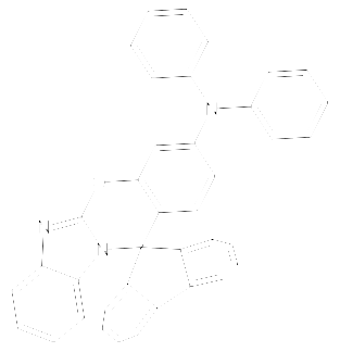 c1ccc(N(c2ccccc2)c2ccc3c(c2)Oc2nc4ccccc4n2C32c3ccccc3-c3ccccc32)cc1